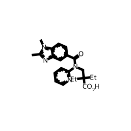 CCC(CC)(CN(C(=O)c1ccc2c(c1)nc(C)n2C)c1ccccn1)C(=O)O